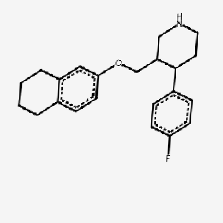 Fc1ccc(C2CCNCC2COc2ccc3c(c2)CCCC3)cc1